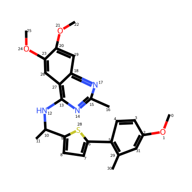 COc1ccc(-c2ccc(C(C)Nc3nc(C)nc4cc(OC)c(OC)cc34)s2)c(C)c1